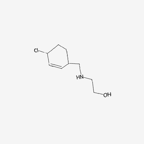 OCCNCC1C=CC(Cl)CC1